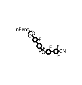 CCCCCC1COC(c2ccc(C3CCC(C(F)(F)Oc4ccc(-c5cc(F)c(C#N)c(F)c5)c(F)c4)CC3)c(F)c2)OC1